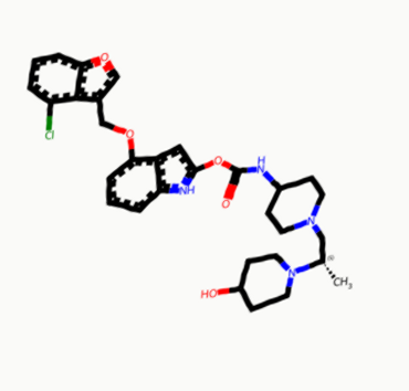 C[C@@H](CN1CCC(NC(=O)Oc2cc3c(OCc4coc5cccc(Cl)c45)cccc3[nH]2)CC1)N1CCC(O)CC1